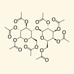 CC(=O)OC[C@H]1O[C@@H](O[C@H]2[C@H](OC(C)=O)[C@@H](OC(C)=O)C(OC(C)=O)O[C@@H]2COC(C)=O)[C@H](OC(C)=O)[C@@H](OC(C)=O)[C@H]1OC(C)=O